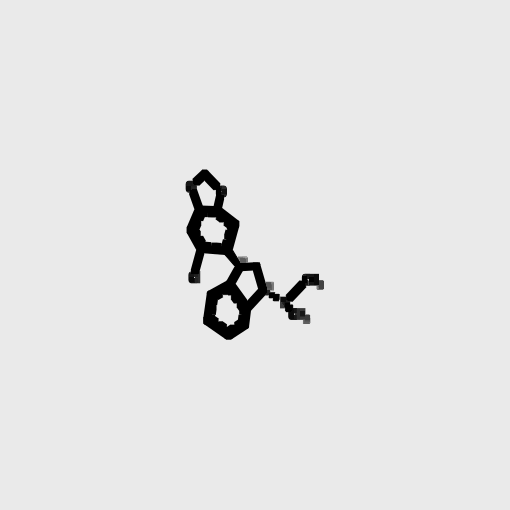 CN(C)[C@H]1C[C@H](c2cc3c(cc2Cl)OCO3)c2ccccc21